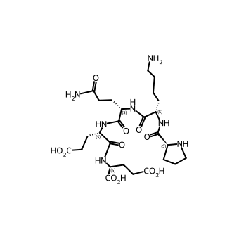 NCCCC[C@H](NC(=O)[C@@H]1CCCN1)C(=O)N[C@@H](CCC(N)=O)C(=O)N[C@@H](CCC(=O)O)C(=O)N[C@@H](CCC(=O)O)C(=O)O